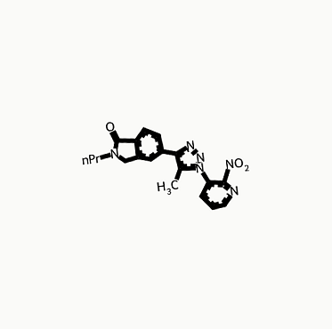 CCCN1Cc2cc(-c3nnn(-c4cccnc4[N+](=O)[O-])c3C)ccc2C1=O